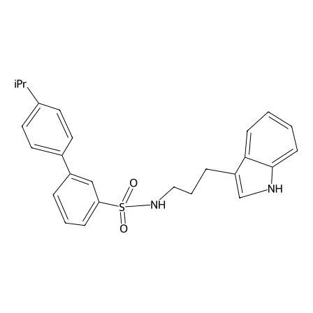 CC(C)c1ccc(-c2cccc(S(=O)(=O)NCCCc3c[nH]c4ccccc34)c2)cc1